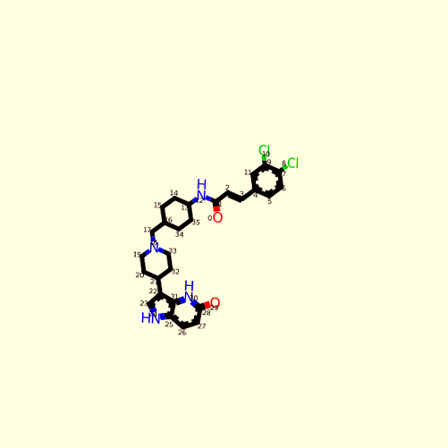 O=C(C=Cc1ccc(Cl)c(Cl)c1)NC1CCC(CN2CCC(c3c[nH]c4ccc(=O)[nH]c34)CC2)CC1